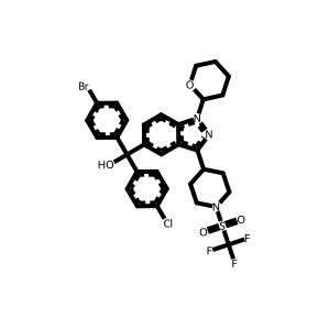 O=S(=O)(N1CCC(c2nn(C3CCCCO3)c3ccc(C(O)(c4ccc(Cl)cc4)c4ccc(Br)cc4)cc23)CC1)C(F)(F)F